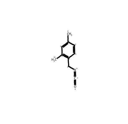 Cc1ccc(CN=C=O)c(C)c1